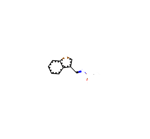 CC(C)(C)[S@+]([O-])/N=C/c1csc2ccccc12